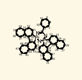 c1ccc(C2=NP3(=NP4(=N2)c2ccc5ccccc5c2-c2c4ccc4ccccc24)c2ccc4ccccc4c2-c2c3ccc3ccccc23)cc1